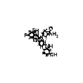 C[C@]1(C(N)=O)CC[C@H](n2c(Nc3c(F)cc(F)cc3Cl)nc3cnc(N[C@H]4CCC[C@H](O)C4)nc32)CC1